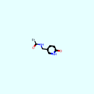 CCC(=O)NCc1ccc(=O)[nH]c1